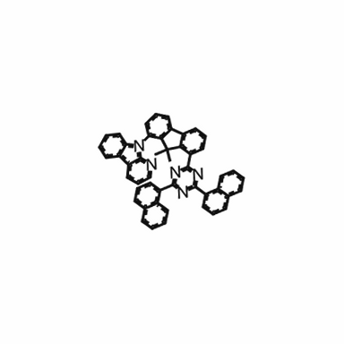 CC1(C)c2c(-c3nc(-c4cccc5ccccc45)nc(-c4cccc5ccccc45)n3)cccc2-c2cccc(-n3c4ccccc4c4cccnc43)c21